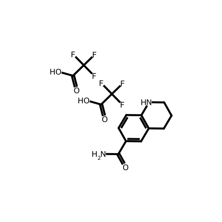 NC(=O)c1ccc2c(c1)CCCN2.O=C(O)C(F)(F)F.O=C(O)C(F)(F)F